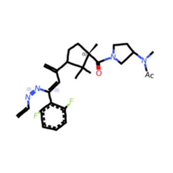 C=C/N=N\C(=C/C(=C)C1CC[C@](C)(C(=O)N2CCC(N(C)C(C)=O)C2)C1(C)C)c1c(F)cccc1F